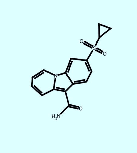 NC(=O)c1c2ccc(S(=O)(=O)C3CC3)cc2n2ccccc12